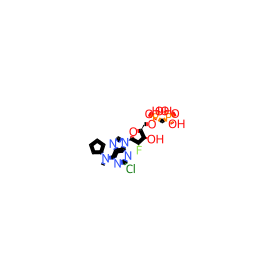 CN(c1nc(Cl)nc2c1ncn2[C@@H]1O[C@H](COP(=O)(O)CP(=O)(O)O)[C@@H](O)[C@@H]1F)C1CCCC1